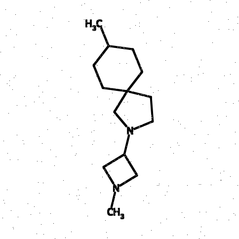 CC1CCC2(CC1)CCN(C1CN(C)C1)C2